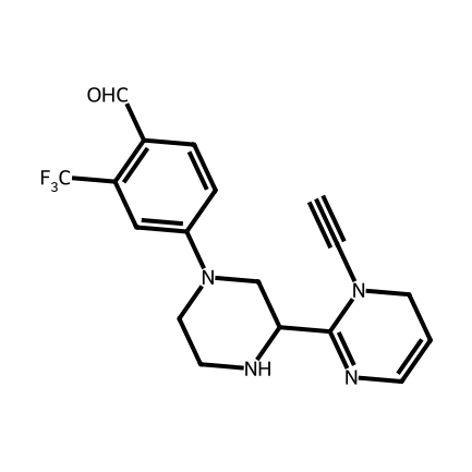 C#CN1CC=CN=C1C1CN(c2ccc(C=O)c(C(F)(F)F)c2)CCN1